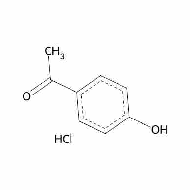 CC(=O)c1ccc(O)cc1.Cl